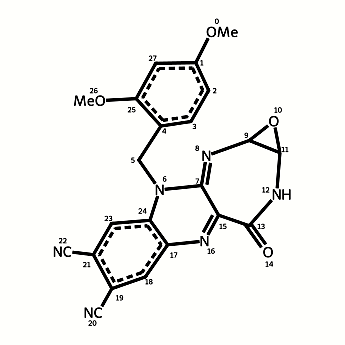 COc1ccc(CN2C3=NC4OC4NC(=O)C3=Nc3cc(C#N)c(C#N)cc32)c(OC)c1